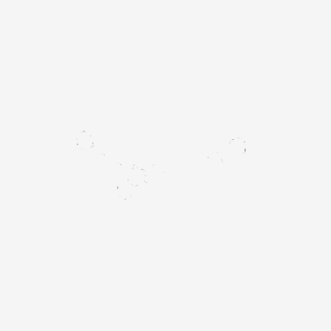 Cc1ccc(S(=O)(=O)NC[C@H]2CC[C@H](CNc3nc(N4CCN(c5ccccc5)CC4)c4ccccc4n3)CC2)cc1